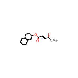 COC(=O)/C=C/C(=O)Oc1ccc2ccccc2c1